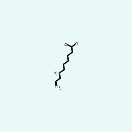 C=CC[SiH2]CCCCCC(Cl)Cl